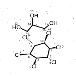 Cl[C@H]1[C@H](Cl)[C@@H](Cl)[C@@H](Cl)[C@H](Cl)[C@H]1Cl.OCC(O)CO